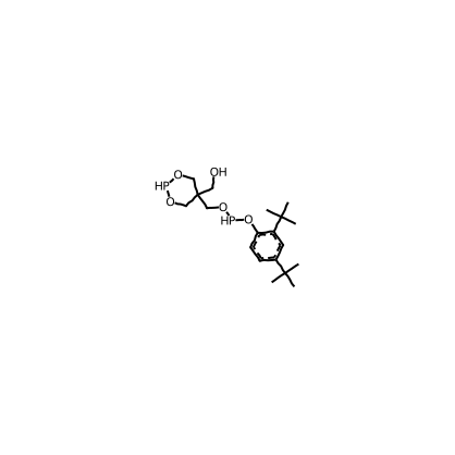 CC(C)(C)c1ccc(OPOCC2(CO)COPOC2)c(C(C)(C)C)c1